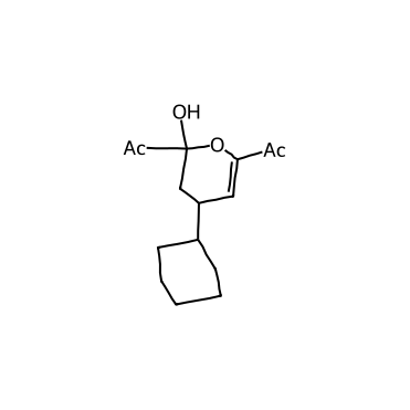 CC(=O)C1=CC(C2CCCCC2)CC(O)(C(C)=O)O1